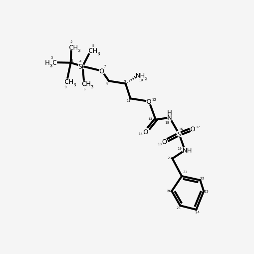 CC(C)(C)[Si](C)(C)OC[C@H](N)COC(=O)NS(=O)(=O)NCc1ccccc1